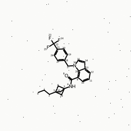 CCCC12CC(NC(=O)c3cccc4ccn(Cc5ccc(C(F)(F)F)cc5)c34)(C1)C2